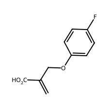 C=C(COc1ccc(F)cc1)C(=O)O